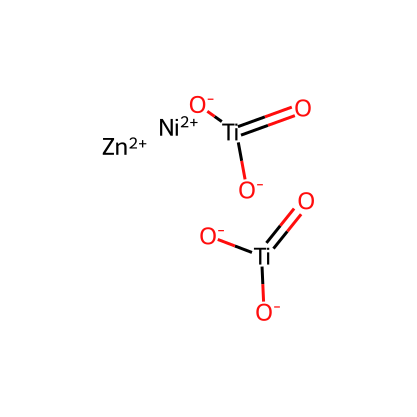 [Ni+2].[O]=[Ti]([O-])[O-].[O]=[Ti]([O-])[O-].[Zn+2]